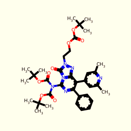 Cc1cc(-c2c(-c3ccccc3)nc(N(C(=O)OC(C)(C)C)C(=O)OC(C)(C)C)n3c(=O)n(CCOC(=O)OC(C)(C)C)nc23)cc(C)n1